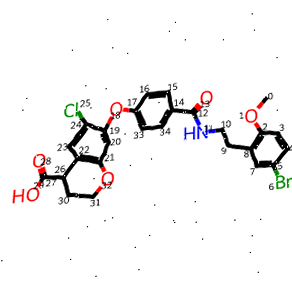 COc1ccc(Br)cc1CCNC(=O)c1ccc(Oc2cc3c(cc2Cl)C(C(=O)O)CCO3)cc1